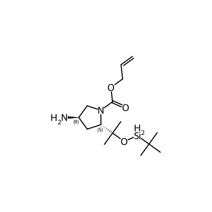 C=CCOC(=O)N1C[C@H](N)C[C@H]1C(C)(C)O[SiH2]C(C)(C)C